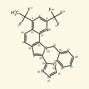 CC(F)(F)c1cc(C(F)(F)F)nc2c1ccc1cc(-c3nnco3)n(Cc3ccccc3)c12